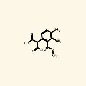 COC(=O)c1c(C(C(=O)O)C(=O)O)ccc(N)c1N